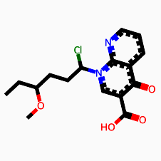 CCC(CCC(Cl)n1cc(C(=O)O)c(=O)c2cccnc21)OC